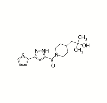 CC(C)(O)CC1CCN(C(=O)c2cc(-c3cccs3)n[nH]2)CC1